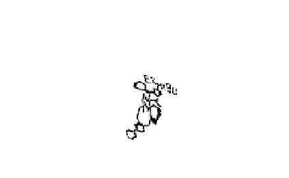 CCCCC(CC)c1cccc(C(/N=C(\C2=CC2C)N2C/C=C\c3cc(C4=CCCC=C4)ccc3Cc3ccccc32)=C2\C=CC=CC2)c1